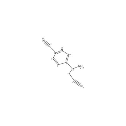 N#CCC(N)c1ccc(C#N)nc1